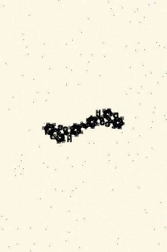 O=C(Nc1ccc(/C=C/c2ccc(NC(=O)[C@@H]3CCCN3C(=O)c3cccnc3Cl)cc2)cc1)[C@@H]1CCCN1C(=O)c1ccccc1Cl